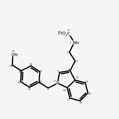 CCOC(=O)NCCc1cn(Cc2ccc(CO)cc2)c2ccccc12